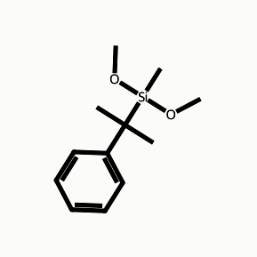 CO[Si](C)(OC)C(C)(C)c1ccccc1